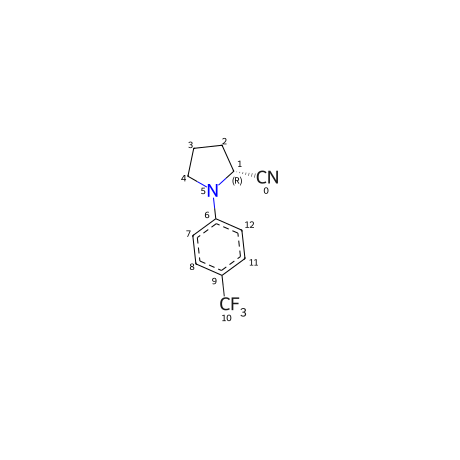 N#C[C@H]1CCCN1c1ccc(C(F)(F)F)cc1